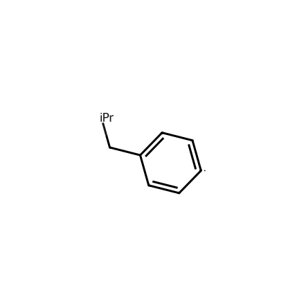 CC(C)Cc1cc[c]cc1